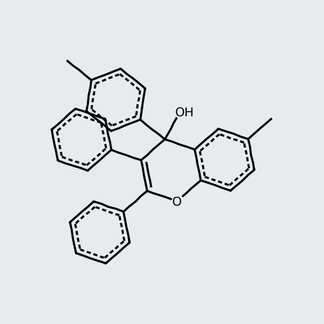 Cc1ccc(C2(O)C(c3ccccc3)=C(c3ccccc3)Oc3ccc(C)cc32)cc1